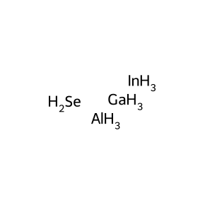 [AlH3].[GaH3].[InH3].[SeH2]